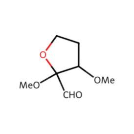 COC1CCOC1(C=O)OC